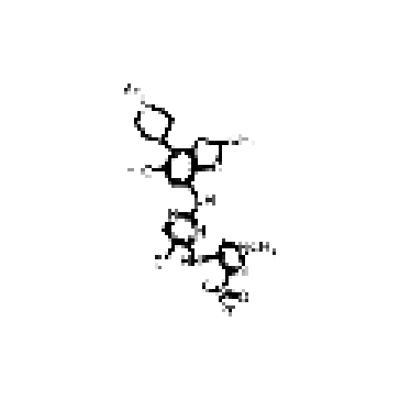 CC(=O)N1CCC(c2c(C)cc(Nc3ncc(Cl)c(Nc4cn(C)nc4S(=O)(=O)C(C)C)n3)c3c2CC(C)O3)CC1